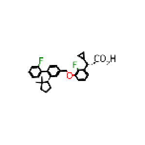 CC1(C)CCC[C@@H]1c1cc(COc2cccc([C@@H](CC(=O)O)C3CC3)c2F)ccc1-c1ccccc1F